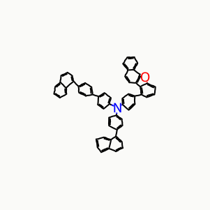 c1ccc2c(-c3ccc(-c4ccc(N(c5ccc(-c6cccc7ccccc67)cc5)c5ccc(-c6cccc7oc8c9ccccc9ccc8c67)cc5)cc4)cc3)cccc2c1